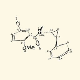 COc1ccc(Cl)cc1C(=O)N[C@@H]1C[C@H]1C1C=CC=CC1